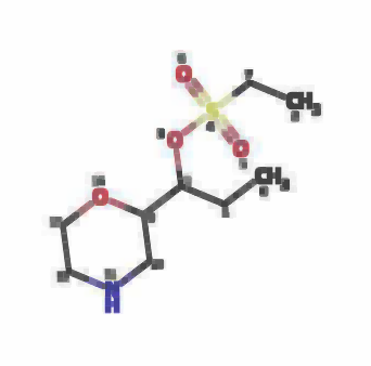 CCC(OS(=O)(=O)CC)C1CNCCO1